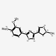 CCOc1cc(-c2nc(C3=COB(O)C3)ns2)ccc1OC